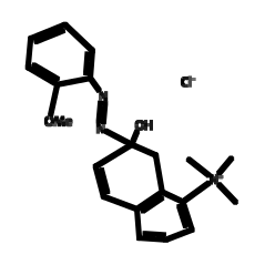 COc1ccccc1/N=N/C1(O)C=Cc2cccc([N+](C)(C)C)c2C1.[Cl-]